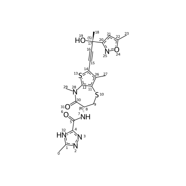 Cc1nnc(C(=O)N[C@H]2CSc3c(sc(C#C[C@](C)(O)c4cc(C)on4)c3C)N(C)C2=O)[nH]1